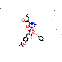 CCC[C@@H](CO)NC(=O)[C@H](CC(C)C)NC(=O)[C@H](Cc1ccc(OC(C)(C)C)cc1)NC(=O)OCc1ccccc1